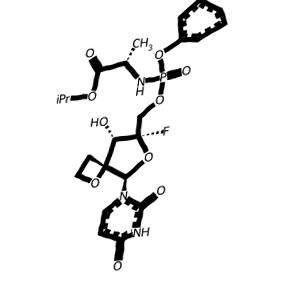 CC(C)OC(=O)[C@H](C)NP(=O)(OC[C@@]1(F)O[C@@H](n2ccc(=O)[nH]c2=O)[C@@]2(CCO2)[C@@H]1O)Oc1ccccc1